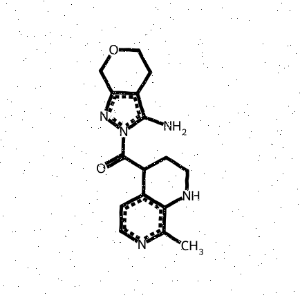 Cc1nccc2c1NCCC2C(=O)n1nc2c(c1N)CCOC2